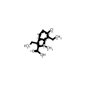 CCc1c(C(=O)O)n(C)c2c(CC)c(Cl)ccc12